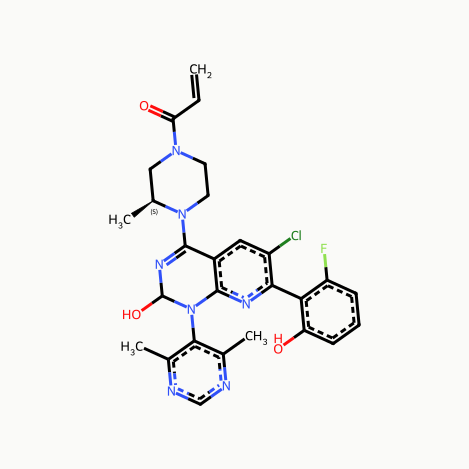 C=CC(=O)N1CCN(C2=NC(O)N(c3c(C)ncnc3C)c3nc(-c4c(O)cccc4F)c(Cl)cc32)[C@@H](C)C1